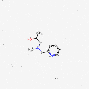 CC(O)CN(C)Cc1ccccn1